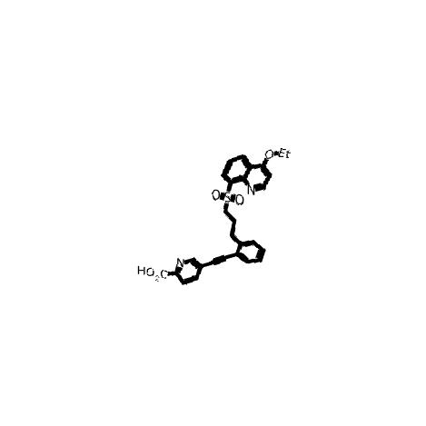 CCOc1ccnc2c(S(=O)(=O)CCCc3ccccc3C#Cc3ccc(C(=O)O)nc3)cccc12